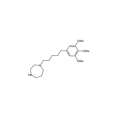 COc1cc(CCCCCN2CCCNCC2)cc(OC)c1OC